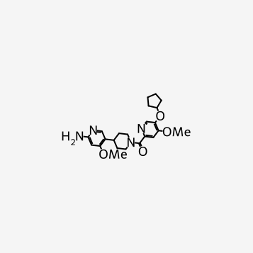 COc1cc(C(=O)N2CCC(c3cnc(N)cc3OC)CC2)ncc1OC1CCCC1